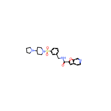 O=C(NCc1cccc(S(=O)(=O)N2CCC(N3CCCC3)CC2)c1)c1cc2ccncc2o1